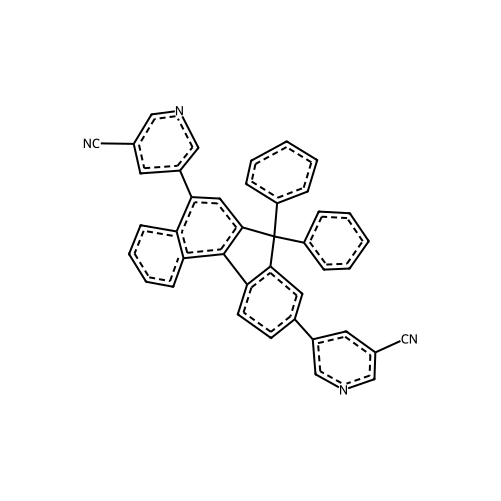 N#Cc1cncc(-c2ccc3c(c2)C(c2ccccc2)(c2ccccc2)c2cc(-c4cncc(C#N)c4)c4ccccc4c2-3)c1